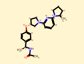 CC(=O)N[C@@H](C)c1ccc(O[C@@H]2CCN(c3cccc(N4CCCC4C)n3)C2)cc1